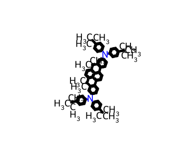 CC(C)(C)c1ccc(N(c2ccc(C(C)(C)C)cc2)c2ccc3c(c2)C(C)(C)c2ccc4c5c(ccc-3c25)-c2ccc(N(c3ccc(C(C)(C)C)cc3)c3ccc(C(C)(C)C)cc3)cc2C4(C)C)cc1